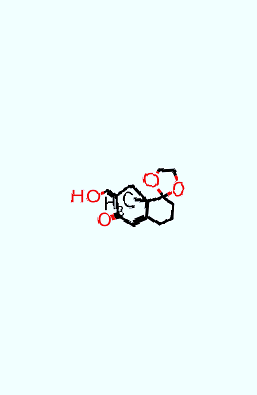 CC12C/C(=C/O)C(=O)C=C1CCCC21OCCO1